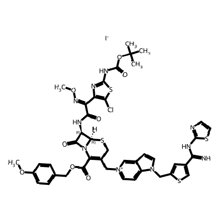 CON=C(C(=O)N[C@@H]1C(=O)N2C(C(=O)OCc3ccc(OC)cc3)=C(C[n+]3ccc4c(ccn4Cc4cc(C(=N)Nc5nccs5)cs4)c3)CS[C@H]12)c1nc(NC(=O)OC(C)(C)C)sc1Cl.[I-]